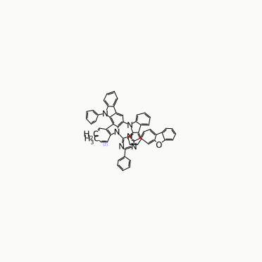 C=Cc1c(/C=C\C)n(-c2nc(-c3ccccc3)nc(-c3ccc4c(c3)oc3ccccc34)n2)c2c(-n3c4ccccc4c4ccccc43)cc3c4ccccc4n(-c4ccccc4)c3c12